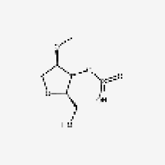 CO[C@@H]1CO[C@H](CO)C1O[PH](=O)O